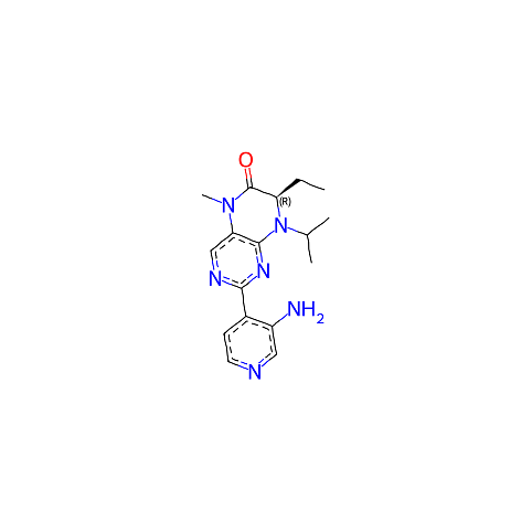 CC[C@@H]1C(=O)N(C)c2cnc(-c3ccncc3N)nc2N1C(C)C